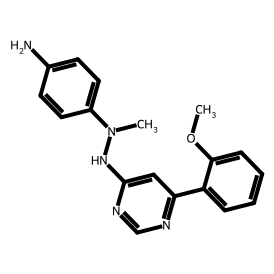 COc1ccccc1-c1cc(NN(C)c2ccc(N)cc2)ncn1